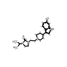 CC(C)N1CCN(CCN2CCC(c3c[nH]c4cc(Cl)ccc34)CC2)C1=O